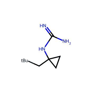 CC(C)(C)CC1(NC(=N)N)CC1